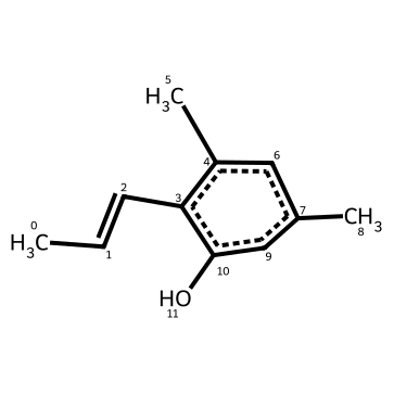 CC=Cc1c(C)cc(C)cc1O